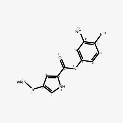 CNSc1c[nH]c(C(=O)Nc2ccc(F)c(C#N)c2)c1